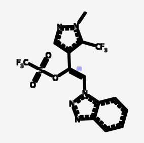 Cn1ncc(/C(=C/n2nnc3ccccc32)OS(=O)(=O)C(F)(F)F)c1C(F)(F)F